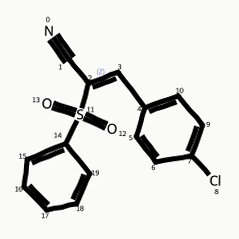 N#C/C(=C/c1ccc(Cl)cc1)S(=O)(=O)c1ccccc1